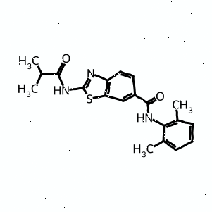 Cc1cccc(C)c1NC(=O)c1ccc2nc(NC(=O)C(C)C)sc2c1